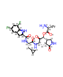 CC(C)[C@H](N)C(=O)OCC(=O)[C@H](C[C@@H]1CCNC1=O)NC(=O)[C@H](CC1CC1)NC(=O)c1cc2cc(F)cc(F)c2[nH]1